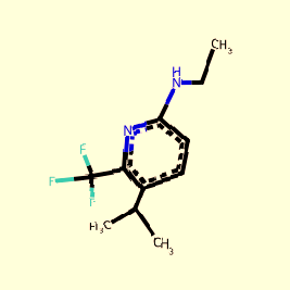 CCNc1ccc(C(C)C)c(C(F)(F)F)n1